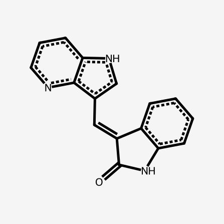 O=C1Nc2ccccc2/C1=C\c1c[nH]c2cccnc12